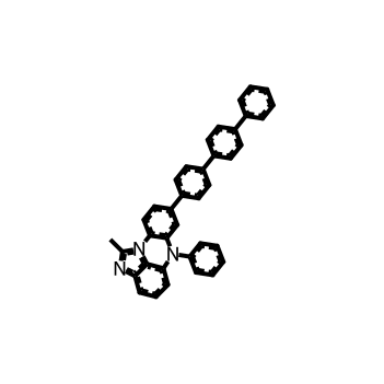 Cc1nc2cccc3c2n1-c1ccc(-c2ccc(-c4ccc(-c5ccccc5)cc4)cc2)cc1N3c1ccccc1